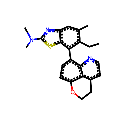 CCc1c(C)cc2nc(N(C)C)sc2c1-c1ccc2c3c(ccnc13)CCO2